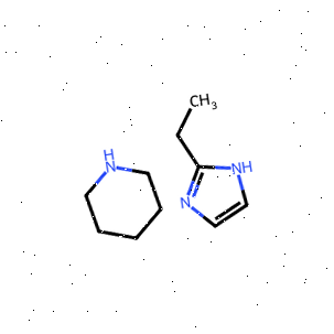 C1CCNCC1.CCc1ncc[nH]1